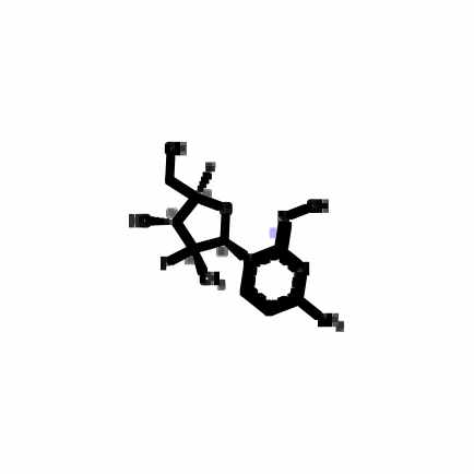 C[C@]1(F)[C@H](n2ccc(N)n/c2=N\O)O[C@](F)(CO)[C@H]1O